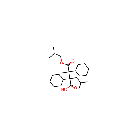 CC(C)COC(=O)C(C)(C1CCCCC1)C(CC(C)C)(C(=O)O)C1CCCCC1